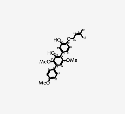 COc1ccc(-c2cc(OC)c(-c3ccc(OCC=C(C)C)c(O)c3)c(O)c2OC)cc1